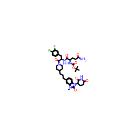 Cn1c(=O)n(C2CCC(=O)NC2=O)c2ccc(CCCC3CCN(C(=O)C(Cc4ccc(F)c(F)c4)NC(=O)C(CCC(N)=O)NC(=O)OC(C)(C)C)CC3)cc21